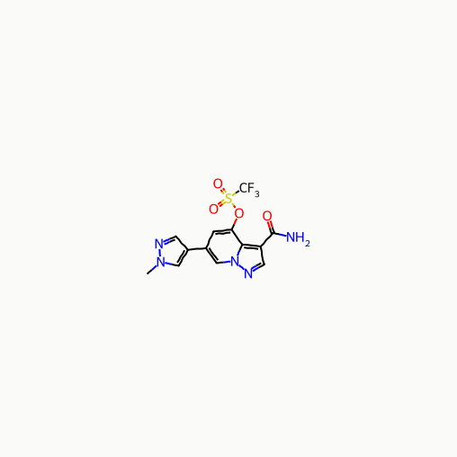 Cn1cc(-c2cc(OS(=O)(=O)C(F)(F)F)c3c(C(N)=O)cnn3c2)cn1